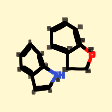 c1ccc2[nH]ccc2c1.c1ccc2c(c1)CCO2